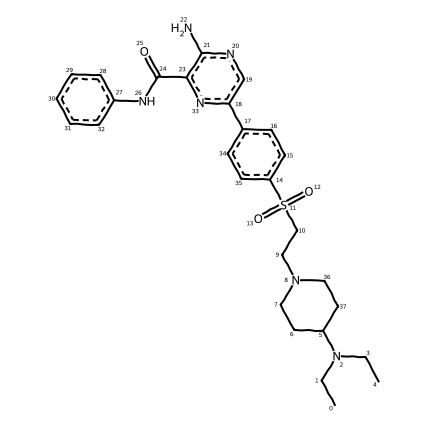 CCN(CC)C1CCN(CCS(=O)(=O)c2ccc(-c3cnc(N)c(C(=O)Nc4ccccc4)n3)cc2)CC1